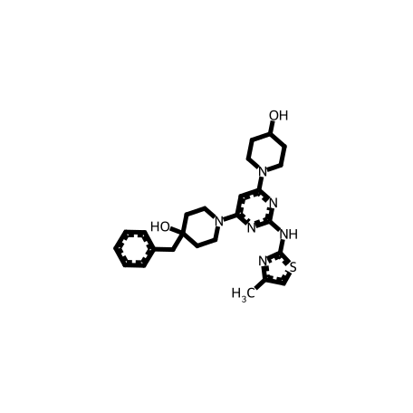 Cc1csc(Nc2nc(N3CCC(O)CC3)cc(N3CCC(O)(Cc4ccccc4)CC3)n2)n1